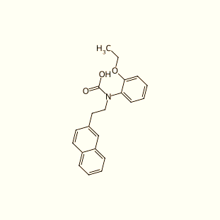 CCOc1ccccc1N(CCc1ccc2ccccc2c1)C(=O)O